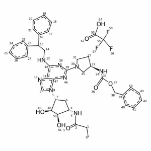 CCC(=O)N[C@H]1C[C@@H](n2cnc3c(NCC(c4ccccc4)c4ccccc4)nc(N4CC[C@@H](NC(=O)OCc5ccccc5)C4)nc32)[C@H](O)[C@@H]1O.O=C(O)C(F)(F)F